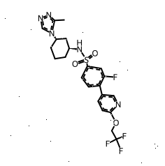 Cc1nncn1[C@@H]1CCC[C@H](NS(=O)(=O)c2ccc(-c3ccc(OCC(F)(F)F)nc3)c(F)c2)C1